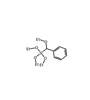 CCOC(c1ccccc1)[Si](OCC)(OCC)OCC